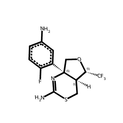 NC1=N[C@@]2(c3cc(N)ccc3F)CO[C@H](C(F)(F)F)[C@H]2CS1